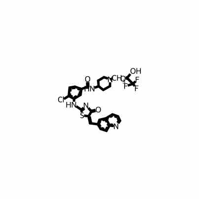 CN1CCC(NC(=O)c2ccc(Cl)c(NC3=NC(=O)C(=Cc4ccc5ncccc5c4)S3)c2)CC1.O=C(O)C(F)(F)F